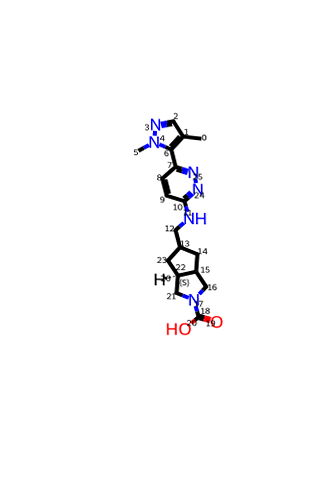 Cc1cnn(C)c1-c1ccc(NCC2CC3CN(C(=O)O)C[C@H]3C2)nn1